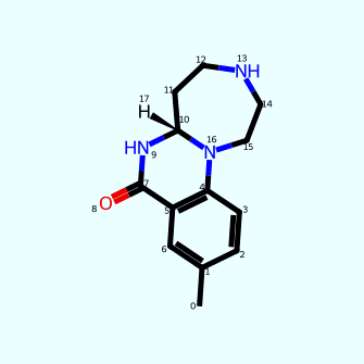 Cc1ccc2c(c1)C(=O)N[C@@H]1CCNCCN21